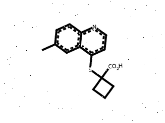 Cc1ccc2nccc(SC3(C(=O)O)CCC3)c2c1